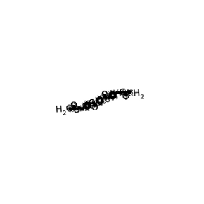 C=CC(=O)OCCc1ccc(OC(=O)[C@H]2CC[C@H](C(=O)Oc3ccc(CCOC(=O)C=C)cc3)CC2)cc1